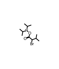 CC(C)C(Br)C(=O)ON(C(C)C)C(C)C